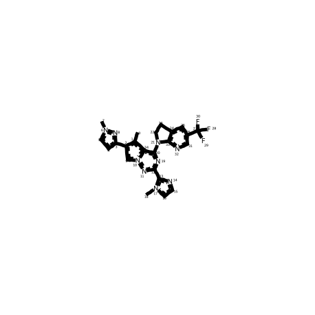 Cc1c(-c2ccn(C)n2)cn2nc(-c3nccn3C)nc(N3CCc4cc(C(F)(F)F)cnc43)c12